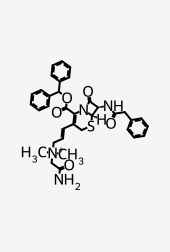 C[N+](C)(C/C=C/C1=C(C(=O)OC(c2ccccc2)c2ccccc2)N2C(=O)[C@@H](NC(=O)Cc3ccccc3)[C@@H]2SC1)CC(N)=O